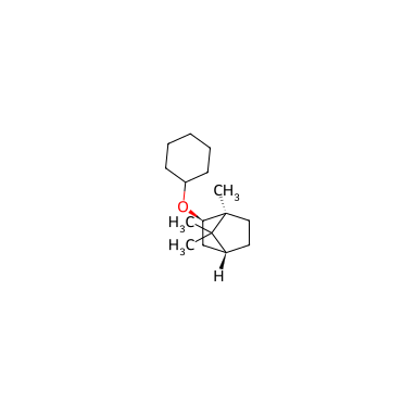 CC1(C)[C@@H]2CC[C@]1(C)[C@H](OC1CCCCC1)C2